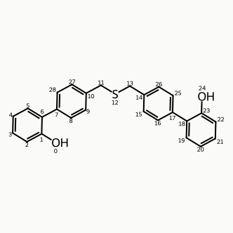 Oc1ccccc1-c1ccc(CSCc2ccc(-c3ccccc3O)cc2)cc1